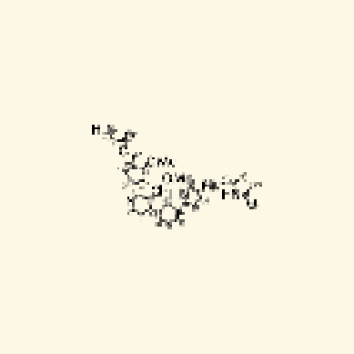 COc1cc(-c2nccc(-c3cccc(-c4ccc(CNC[C@@H]5CCC(=O)N5)c(OC)n4)c3Cl)c2Cl)ccc1COC(=O)CN